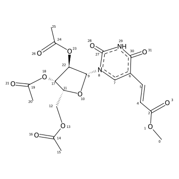 COC(=O)C=Cc1cn([C@@H]2O[C@H](COC(C)=O)[C@H](OC(C)=O)[C@H]2OC(C)=O)c(=O)[nH]c1=O